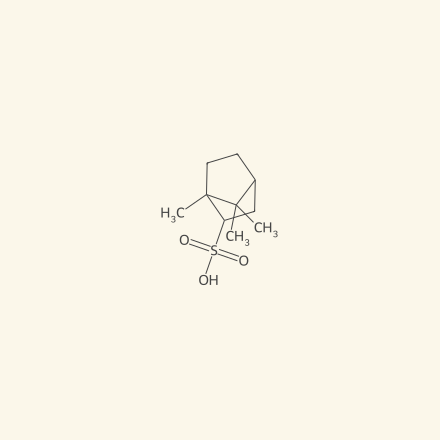 CC1(C)C2CCC1(C)C(S(=O)(=O)O)C2